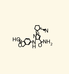 N#C[C@@H]1CCC[C@H]1n1cc(C(N)=O)c(Nc2ccc3c(c2)COB3O)n1